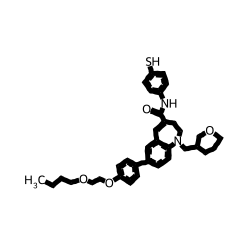 CCCCOCCOc1ccc(-c2ccc3c(c2)C=C(C(=O)Nc2ccc(S)cc2)CCN3CC2CCCOC2)cc1